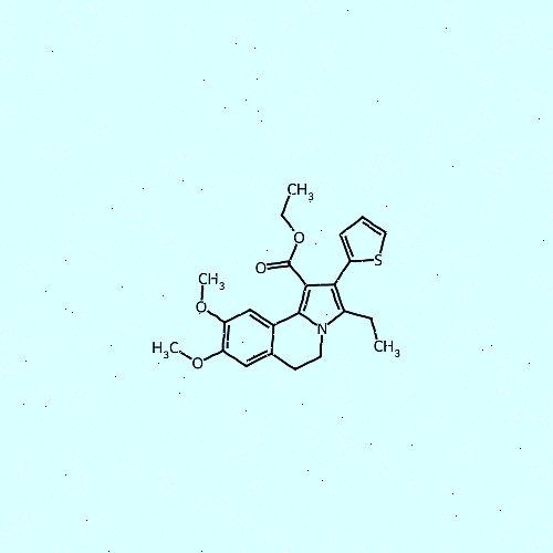 CCOC(=O)c1c(-c2cccs2)c(CC)n2c1-c1cc(OC)c(OC)cc1CC2